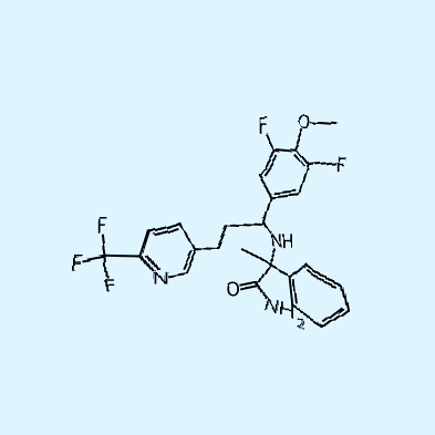 COc1c(F)cc(C(CCc2ccc(C(F)(F)F)nc2)NC(C)(C(N)=O)c2ccccc2)cc1F